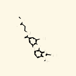 CCOC(=O)CCNC(=O)c1cc(C)c(Oc2cccc3c2nc(N)n3C)c(C)c1